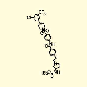 CC(C)(C)OC(=O)NC1CCN(CCc2ccc(C(=O)Nc3ccc(S(=O)(=O)N4CCN(c5cc(C(F)(F)F)cc(Cl)n5)CC4)cc3)cc2)C1